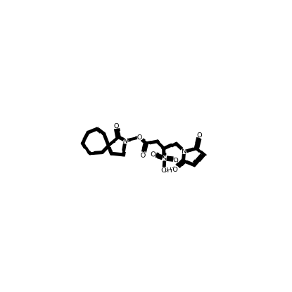 O=C(CC(CN1C(=O)C=CC1=O)S(=O)(=O)O)ON1CCC2(CCCCCC2)C1=O